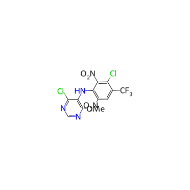 COc1ncnc(Cl)c1Nc1c([N+](=O)[O-])cc(C(F)(F)F)c(Cl)c1[N+](=O)[O-]